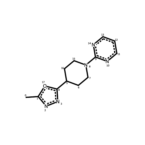 Cc1nnc(C2CCN(c3ncccn3)CC2)o1